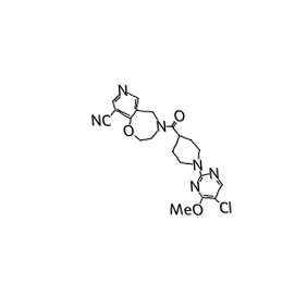 COc1nc(N2CCC(C(=O)N3CCOc4c(C#N)cncc4C3)CC2)ncc1Cl